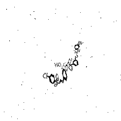 O=C(NC(Oc1ccc(CCCS(=O)(=O)c2ccc(Cl)cc2)cc1)C(=O)O)c1cccc(CSc2nc3cc(Br)ccc3s2)c1